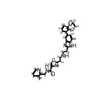 O=C(NCc1ncccc1F)c1coc(CCNCCc2nc3cc(-c4cccc5c4OCCO5)ccc3[nH]2)n1